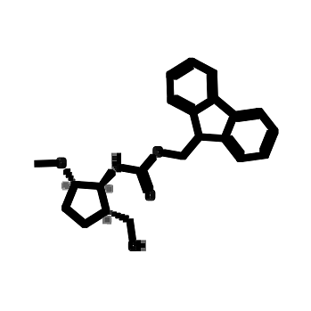 CO[C@H]1CC[C@@H](CO)[C@@H]1NC(=O)OCC1c2ccccc2-c2ccccc21